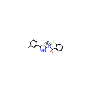 CCCCN(C(=O)c1ccccc1F)c1nnc(-c2[c]c(C)cc(C)c2)s1